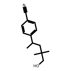 CC(CC(C)(C)CO)c1ccc(C#N)cc1